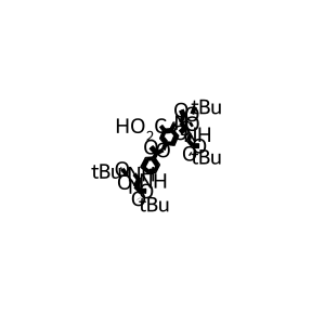 CC(C)(C)OC(=O)CNS(=O)(=O)N(Cc1ccc(OC(=O)c2ccc(N/C(=N\C(=O)OC(C)(C)C)NC(=O)OC(C)(C)C)cc2)cc1C(=O)O)C(=O)OC(C)(C)C